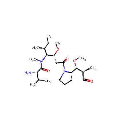 CC[C@H](C)[C@@H]([C@@H](CC(=O)N1CCC[C@H]1[C@H](OC)[C@@H](C)C=O)OC)N(C)C(=O)[C@@H](N)C(C)C